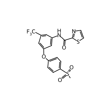 CS(=O)(=O)c1ccc(Oc2cc(NC(=O)c3nccs3)cc(C(F)(F)F)c2)cc1